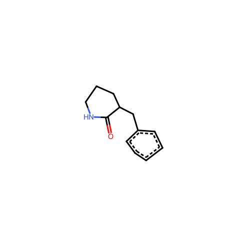 O=C1NCCCC1Cc1ccccc1